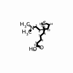 CN(C)CC[C@]1(CCCCC(=O)O)CCSS1